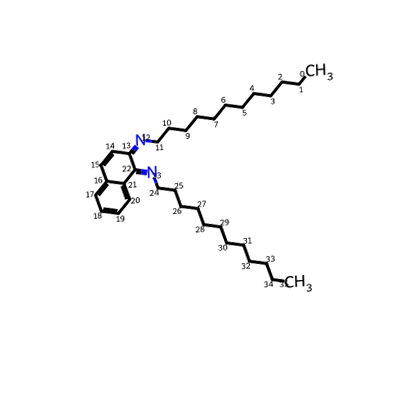 CCCCCCCCCCCCN=C1C=Cc2ccccc2C1=NCCCCCCCCCCCC